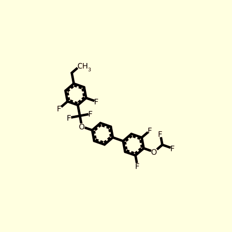 CCc1cc(F)c(C(F)(F)Oc2ccc(-c3cc(F)c(OC(F)F)c(F)c3)cc2)c(F)c1